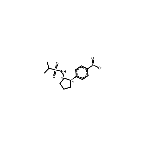 CC(C)S(=O)(=O)N[C@@H]1CCC[C@@H]1c1ccc([N+](=O)[O-])cc1